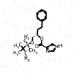 CC(C)(C)[Si](C)(C)OC[C@H](CCc1ccccc1)OC(=O)c1c[nH]cn1